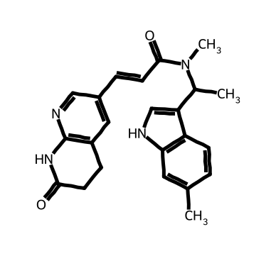 Cc1ccc2c(C(C)N(C)C(=O)C=Cc3cnc4c(c3)CCC(=O)N4)c[nH]c2c1